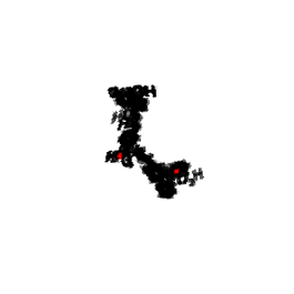 F.F.O=C(O)N(c1cc(CCCn2c(=O)oc3ccc(CNC[C@H](O)c4ccc(O)c5[nH]c(=O)ccc45)cc32)ccc1-c1ccccc1)[C@H]1CN2CCC1CC2